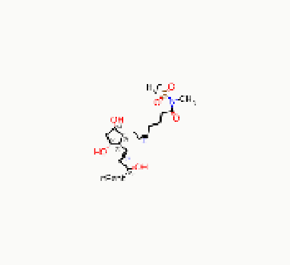 CCCCC[C@H](O)/C=C/[C@@H]1[C@@H](C/C=C\CCCC(=O)N(C)S(C)(=O)=O)[C@@H](O)C[C@H]1O